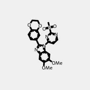 COc1cc2nc(-c3ccc4c(c3)OCCO4)n(-c3ccnc(S(C)(=O)=O)n3)c2cc1OC